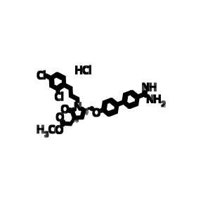 COC(=O)C[C@@H]1C[C@@H](COc2ccc(-c3ccc(C(=N)N)cc3)cc2)N(CCCc2ccc(Cl)cc2Cl)C1=O.Cl